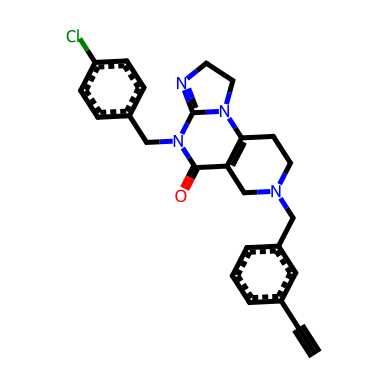 C#Cc1cccc(CN2CCC3=C(C2)C(=O)N(Cc2ccc(Cl)cc2)C2=NCCN23)c1